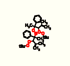 C=C(C)C(OOC(C)(C)C)C(C)(OOC(C)(c1ccccc1)C(OOC(C)(C)C)C(=C)C)c1ccccc1